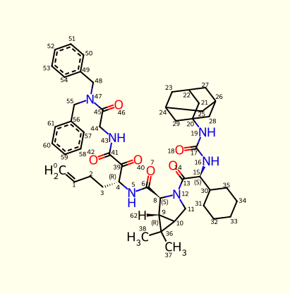 C=CCC[C@@H](NC(=O)[C@@H]1[C@@H]2C(CN1C(=O)[C@@H](NC(=O)NC13CC4CC(CC(C4)C1)C3)C1CCCCC1)C2(C)C)C(=O)C(=O)NCC(=O)N(Cc1ccccc1)Cc1ccccc1